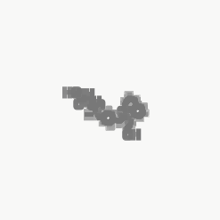 O=C(CNC(=O)NO)Nc1ccc(CC(=O)N(CCO)c2cccc3cccnc23)cc1